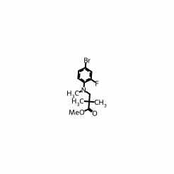 COC(=O)C(C)(C)CN(C)c1ccc(Br)cc1F